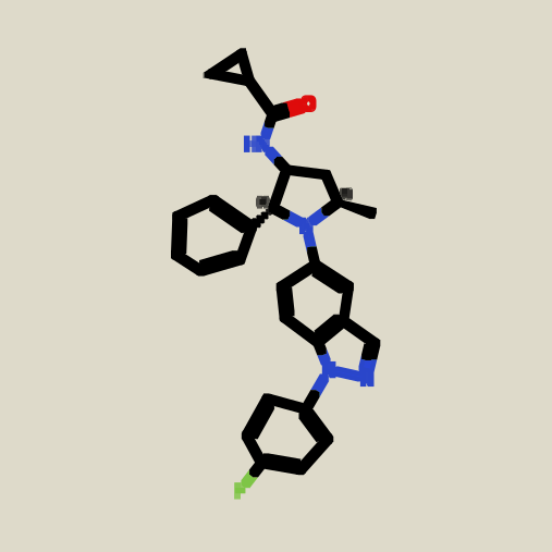 C[C@@H]1CC(NC(=O)C2CC2)[C@@H](c2ccccc2)N1c1ccc2c(cnn2-c2ccc(F)cc2)c1